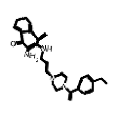 C=C1C2=CCCC=C2C(=O)C(N)=C1NCCCN1CCN(C(=C)c2ccc(CC)cc2)CC1